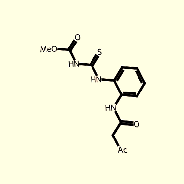 COC(=O)NC(=S)Nc1ccccc1NC(=O)CC(C)=O